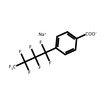 O=C([O-])c1ccc(C(F)(F)C(F)(F)C(F)(F)C(F)(F)F)cc1.[Na+]